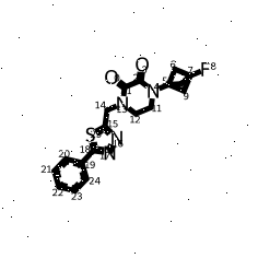 O=C1C(=O)N(C23CC(F)(C2)C3)CCN1Cc1nnc(-c2ccccc2)s1